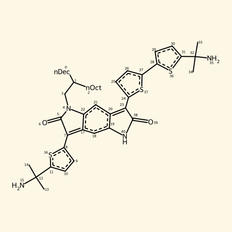 CCCCCCCCCCC(CCCCCCCC)CN1C(=O)C(c2ccc(C(C)(C)N)s2)=c2cc3c(cc21)=C(c1ccc(-c2ccc(C(C)(C)N)s2)s1)C(=O)N3